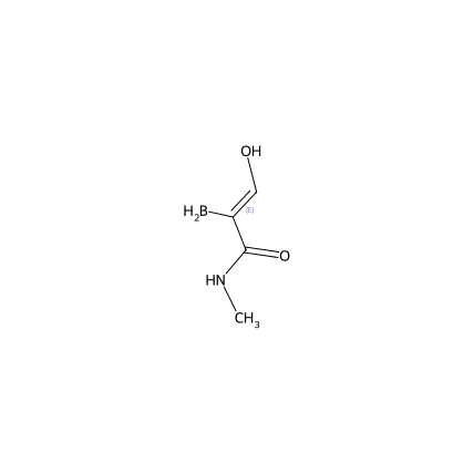 B/C(=C\O)C(=O)NC